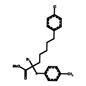 COC(=O)C(Br)(CCCCCc1ccc(Cl)cc1)Sc1ccc(C)cc1